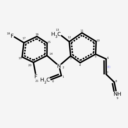 C=CN(c1cc(/C=C/C=N)ccc1C)c1ccc(F)cc1F